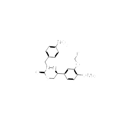 COc1ccc(C2=NN(Cc3ccc([N+](=O)[O-])cc3)C(=O)SC2)cc1OCF